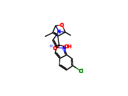 CC1=C(C(=O)O)C2(C)OC1N2/C=C1/C=c2ccc(Cl)cc2=N1